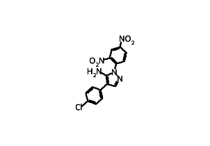 Nc1c(-c2ccc(Cl)cc2)cnn1-c1ccc([N+](=O)[O-])cc1[N+](=O)[O-]